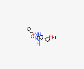 CCOc1cccc(-c2ccc3c(NC(=O)CCC4CCCC4)n[nH]c3c2)c1